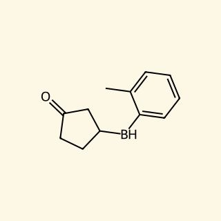 Cc1ccccc1BC1CCC(=O)C1